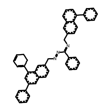 C1=CCCC(c2cc(-c3ccccc3)cc3ccc(C/N=N/C(=N\Cc4ccc5c(-c6ccccc6)cccc5c4)c4ccccc4)cc23)=C1